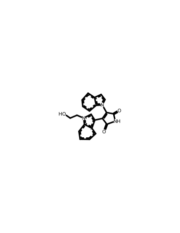 O=C1NC(=O)C(n2ccc3ccccc32)=C1c1cn(CCO)c2ccccc12